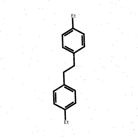 CCc1ccc(CCc2ccc(CC)cc2)cc1